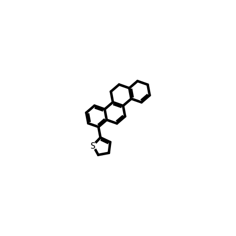 C1=CC2=C(CC1)CCc1c2ccc2c(C3=CCCS3)cccc12